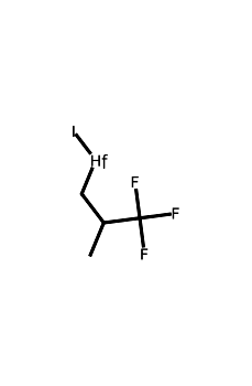 CC([CH2][Hf][I])C(F)(F)F